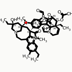 CCc1cc2[nH]c3c(c2cc1C)CCN1C[C@H](C[C@@](O)(CC)C1)C[C@]3(C(=O)OC)c1cc2c(cc1OC)N(C=O)[C@@]13O[C@]1(C(=O)OC)[C@H](OC(C)=O)[C@]1(CC)C=CCN4CC[C@]23[C@@H]41